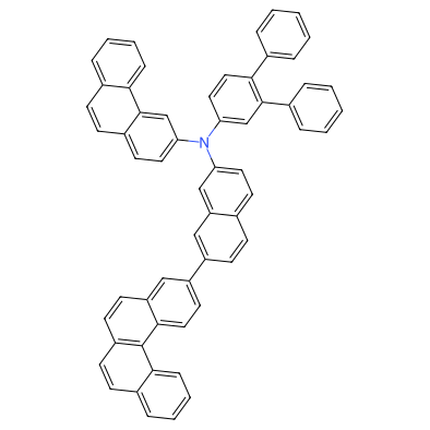 c1ccc(-c2ccc(N(c3ccc4ccc(-c5ccc6c(ccc7ccc8ccccc8c76)c5)cc4c3)c3ccc4ccc5ccccc5c4c3)cc2-c2ccccc2)cc1